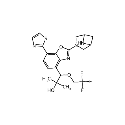 CC(C)(O)C(OCC(F)(F)F)c1ccc(-c2nccs2)c2oc(N3CC4CC(C3)N4)nc12